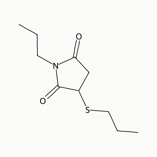 CCCSC1CC(=O)N(CCC)C1=O